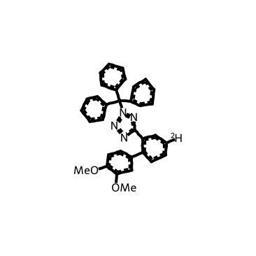 [2H]c1ccc(-c2ccc(OC)c(OC)c2)c(-c2nnn(C(c3ccccc3)(c3ccccc3)c3ccccc3)n2)c1